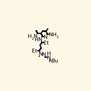 C=C(N)c1cc(C)c(N)nc1N/C(=C/C=C(\CC)N(C)/N=C/NCCCC)CC